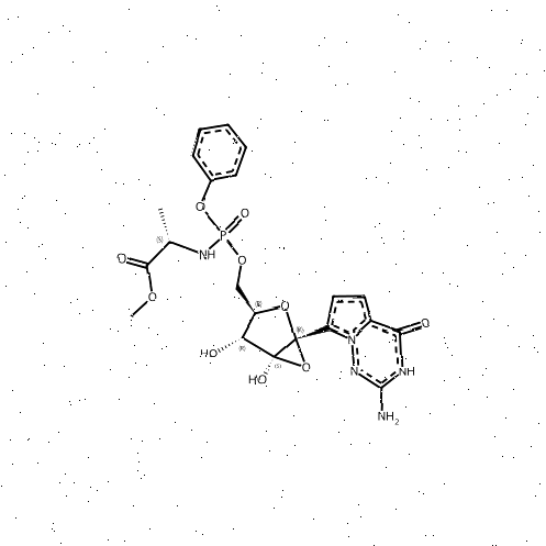 COC(=O)[C@H](C)NP(=O)(OC[C@H]1O[C@]2(c3ccc4c(=O)[nH]c(N)nn34)O[C@@]2(O)[C@@H]1O)Oc1ccccc1